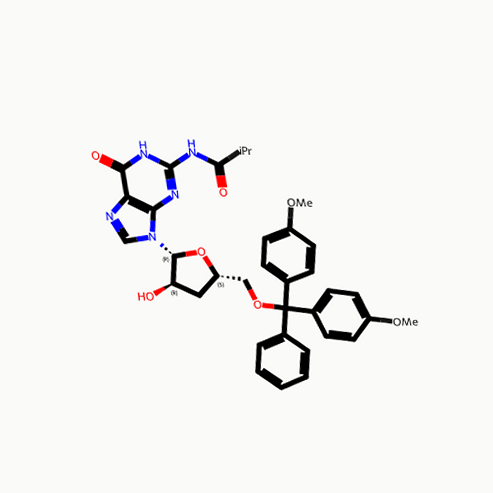 COc1ccc(C(OC[C@@H]2C[C@@H](O)[C@H](n3cnc4c(=O)[nH]c(NC(=O)C(C)C)nc43)O2)(c2ccccc2)c2ccc(OC)cc2)cc1